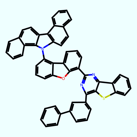 c1ccc(-c2cccc(-c3nc(-c4cccc5c4oc4cccc(-n6c7ccc8ccccc8c7c7ccc8ccccc8c76)c45)nc4c3sc3ccccc34)c2)cc1